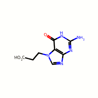 Nc1nc2ncn(CCC(=O)O)c2c(=O)[nH]1